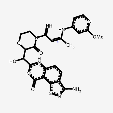 COc1cc(N/C(C)=C\C(=N)N2CCOC(C(O)c3nc(=O)c4c(ccc5c(N)nsc54)[nH]3)C2=O)ccn1